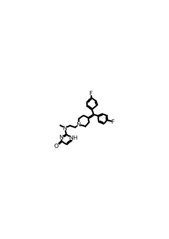 CN(CCN1CCC(=C(c2ccc(F)cc2)c2ccc(F)cc2)CC1)c1nc(=O)cc[nH]1